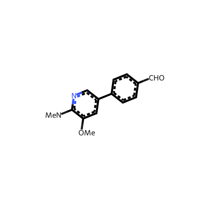 CNc1ncc(-c2ccc(C=O)cc2)cc1OC